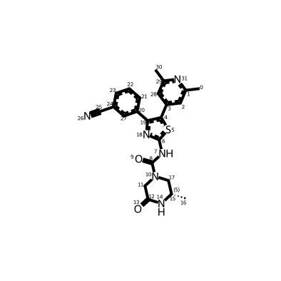 Cc1cc(-c2sc(NC(=O)N3CC(=O)N[C@@H](C)C3)nc2-c2cccc(C#N)c2)cc(C)n1